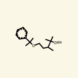 COC(C)(C)C(C)CCOC(C)(C)c1ccccc1